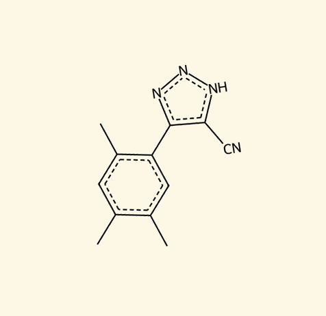 Cc1cc(C)c(-c2nn[nH]c2C#N)cc1C